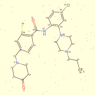 O=C1CCN(Cc2ccc(C(=O)Nc3ccc(Cl)cc3N3CCN(CCC(F)(F)F)CC3)c(F)c2)CC1